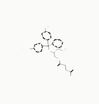 CCNCC(COC(=O)CCC(=O)NC)OC(c1ccccc1)(c1ccc(OC)cc1)c1ccc(OC)cc1